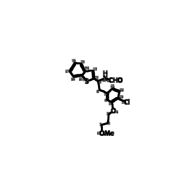 COCCCOc1cc(CC(NC=O)c2cc3ccccc3s2)ccc1Cl